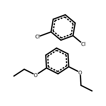 CCOc1cccc(OCC)c1.Clc1cccc(Cl)c1